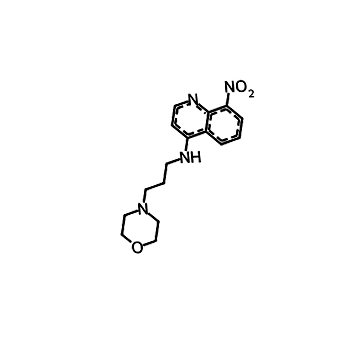 O=[N+]([O-])c1cccc2c(NCCCN3CCOCC3)ccnc12